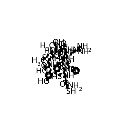 CSCC[C@H](NC(=O)[C@@H](NC(=O)[C@H](CO)NC(=O)[C@H](CCCNC(=N)N)NC(=O)[C@H](Cc1ccc(O)cc1)NC(=O)[C@H](Cc1ccccc1)NC(=O)[C@H](CS)NSSC(=O)[C@@H](N)CS)[C@@H](C)O)C(=O)NCC(=O)N[C@@H](Cc1ccc(O)cc1)C(=O)O